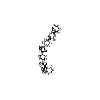 O=C(On1nnc2ccccc21)c1ccc(-c2nnc(-c3ccc(N4CCN(c5ccccn5)CC4)cc3)s2)cc1